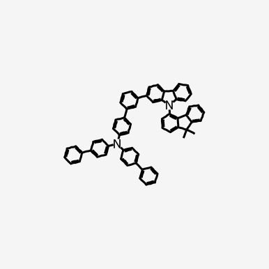 CC1(C)c2ccccc2-c2c(-n3c4ccccc4c4ccc(-c5cccc(-c6ccc(N(c7ccc(-c8ccccc8)cc7)c7ccc(-c8ccccc8)cc7)cc6)c5)cc43)cccc21